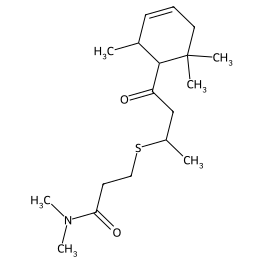 CC(CC(=O)C1C(C)C=CCC1(C)C)SCCC(=O)N(C)C